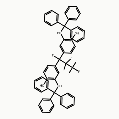 Oc1ccc(C(F)(c2ccc(O)c(NC(c3ccccc3)(c3ccccc3)c3ccccc3)c2)C(F)(F)C(F)(F)F)cc1NC(c1ccccc1)(c1ccccc1)c1ccccc1